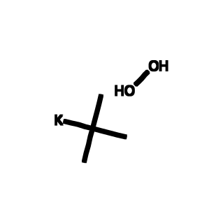 C[C](C)(C)[K].OO